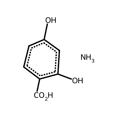 N.O=C(O)c1ccc(O)cc1O